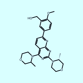 COc1ccc(-c2ccc3c(N4CCOCC4C)nc(N4CCOC[C@H]4C)nc3n2)cc1CO